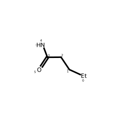 CC[CH]CC([NH])=O